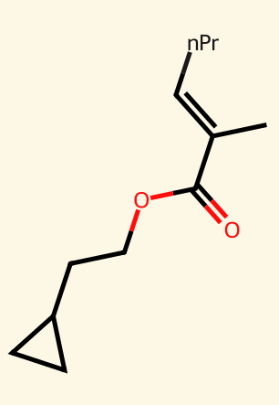 CCCC=C(C)C(=O)OCCC1CC1